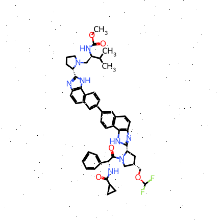 COC(=O)N[C@H](CN1CCC[C@H]1c1nc2ccc3cc(-c4ccc5c(ccc6nc([C@@H]7C[C@H](COC(F)F)CN7C(=O)[C@H](NC(=O)C7CC7)c7ccccc7)[nH]c65)c4)ccc3c2[nH]1)C(C)C